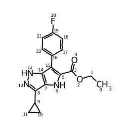 CCOC(=O)c1[nH]c2c(C3CC3)n[nH]c2c1-c1ccc(F)cc1